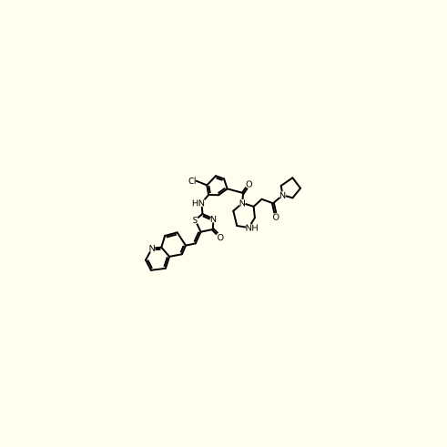 O=C1N=C(Nc2cc(C(=O)N3CCNCC3CC(=O)N3CCCC3)ccc2Cl)S/C1=C\c1ccc2ncccc2c1